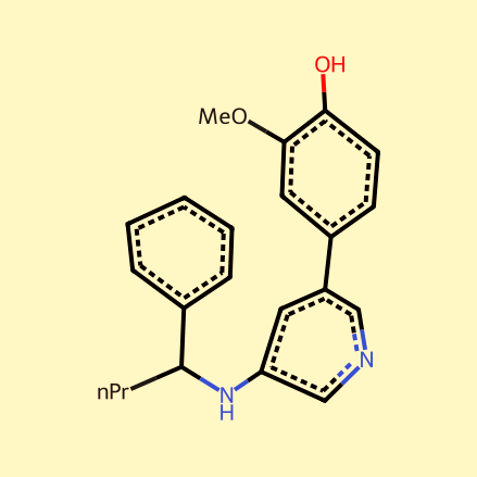 CCCC(Nc1cncc(-c2ccc(O)c(OC)c2)c1)c1ccccc1